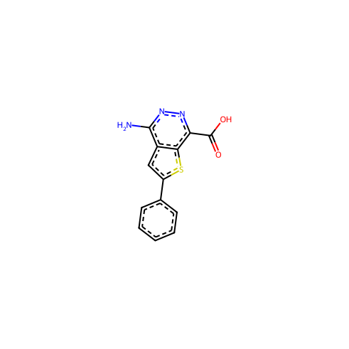 Nc1nnc(C(=O)O)c2sc(-c3ccccc3)cc12